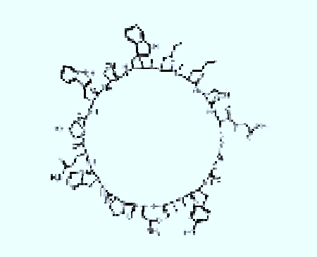 CCCC[C@H]1C(=O)N(C)[C@@H](CCCC)C(=O)N[C@@H](CO)C(=O)N[C@H](C(=O)NCC(N)=O)CCCNCC(=O)N[C@@H](Cc2ccc(O)cc2)C(=O)N(C)[C@@H](C)C(=O)N[C@@H](CC(N)=O)C(=O)N2CCC[C@H]2C(=O)N[C@@H](Cc2cnc[nH]2)C(=O)N[C@@H](CCC(N)=O)C(=O)N2C[C@H](O)C[C@H]2C(=O)N[C@@H](Cc2c[nH]c3ccccc23)C(=O)N[C@@H](CO)C(=O)N[C@@H](Cc2c[nH]c3ccccc23)C(=O)N1C